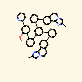 COc1cc(-c2ccccn2)ccc1-c1ccccc1-c1cc(-c2ccccc2-c2ccc3c(ccn4cc(C)nc34)c2)cc(-c2ccccc2-c2ccc3c(ccn4cc(C)nc34)c2)c1